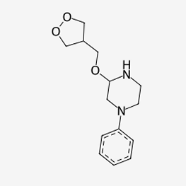 c1ccc(N2CCNC(OCC3COOC3)C2)cc1